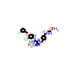 CNc1cn(Cc2ccc(C(=O)NCCOC)cc2)nc1C(=N)Nc1ccc(OCc2cccc(F)c2)c(Cl)c1